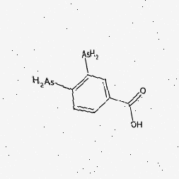 O=C(O)c1ccc([AsH2])c([AsH2])c1